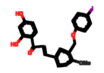 COc1ccc(/C=C/C(=O)c2ccc(O)cc2O)cc1COc1ccc(I)cc1